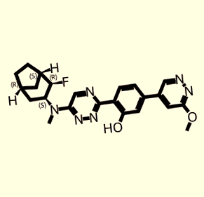 COc1cc(-c2ccc(-c3ncc(N(C)[C@H]4C[C@@H]5CC[C@@H](C5)[C@H]4F)nn3)c(O)c2)cnn1